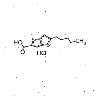 CCCCCc1cc2sc(C(=O)O)cc2s1.Cl